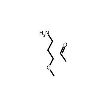 CC=O.COCCCN